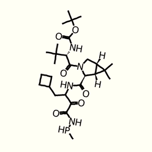 CPNC(=O)C(=O)C(CC1CCC1)NC(=O)[C@@H]1[C@@H]2[C@H](CN1C(=O)[C@@H](NC(=O)OC(C)(C)C)C(C)(C)C)C2(C)C